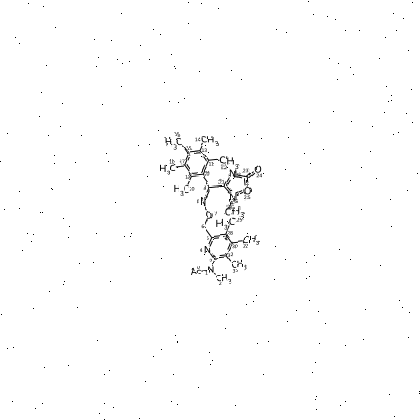 CC(=O)N(C)c1nc(CON=C(c2c(C)c(C)c(C)c(C)c2C)c2nc(=O)on2C)c(C)c(C)c1C